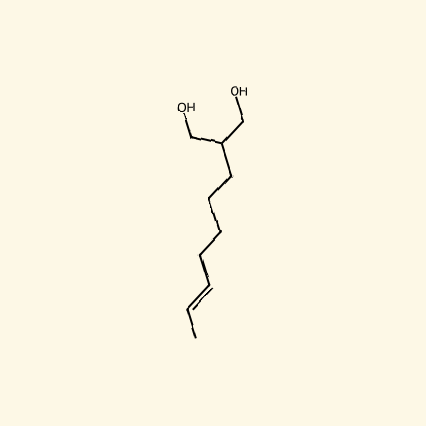 CC=CCCCCC(CO)CO